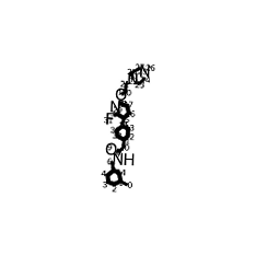 Cc1cccc(CNC(=O)Cc2ccc(-c3ccc(OCCN4CCN(C)CC4)nc3F)cc2)c1